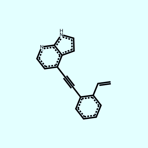 C=Cc1ccccc1C#Cc1ccnc2[nH]ccc12